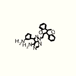 Nc1cccc(-c2nn(CC3=C(c4ccccc4)C(C=O)c4ccccc4O3)c3ncnc(N)c23)c1